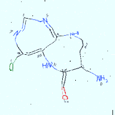 NC1CNc2ncnc(Cl)c2NC1=O